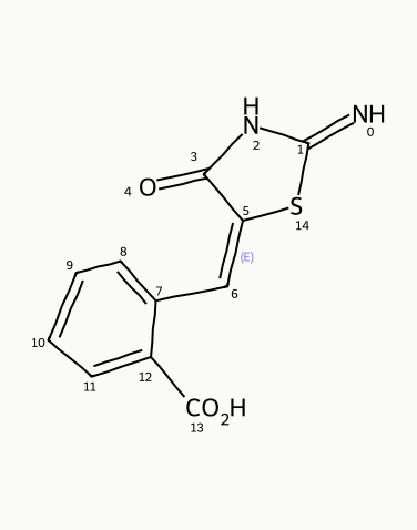 N=C1NC(=O)/C(=C\c2ccccc2C(=O)O)S1